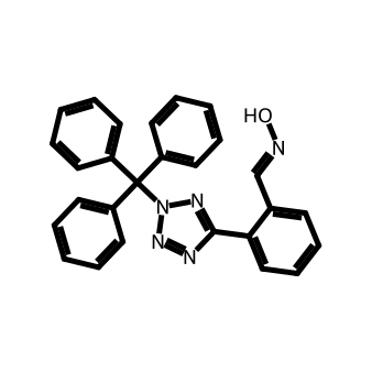 ON=Cc1ccccc1-c1nnn(C(c2ccccc2)(c2ccccc2)c2ccccc2)n1